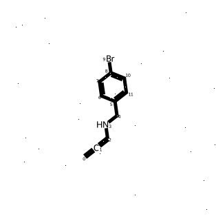 C=C=CNCc1ccc(Br)cc1